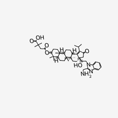 CC(C)C1=C2[C@H]3CC[C@@H]4[C@@]5(C)CC[C@H](OC(=O)CC(C)(C)C(=O)O)C(C)(C)[C@@H]5CC[C@@]4(C)[C@]3(C)CC[C@@]2([C@@H](O)Cn2c(CN)nc3ccccc32)CC1=O